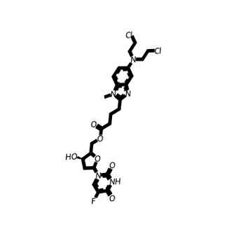 Cn1c(CCCC(=O)OCC2OC(n3cc(F)c(=O)[nH]c3=O)C[C@H]2O)nc2cc(N(CCCl)CCCl)ccc21